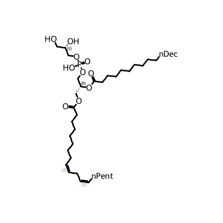 CCCCC/C=C\C/C=C\CCCCCCCC(=O)OC[C@H](COP(=O)(O)OC[C@@H](O)CO)OC(=O)CCCCCCCCCCCCCCCCCCC